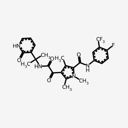 Cc1c(C(=O)C(=O)NC(C)(C)c2ccc[nH]c2=O)c(C)n(C)c1C(=O)Nc1ccc(F)c(C(F)(F)F)c1